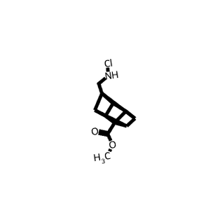 COC(=O)C12C3C4C1C1C2C3C41CNCl